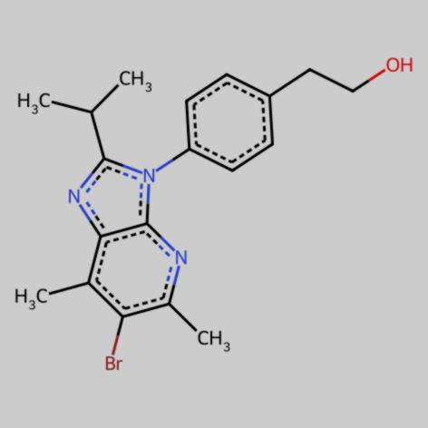 Cc1nc2c(nc(C(C)C)n2-c2ccc(CCO)cc2)c(C)c1Br